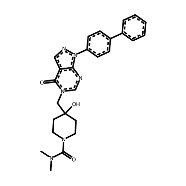 CN(C)C(=O)N1CCC(O)(Cn2cnc3c(cnn3-c3ccc(-c4ccccc4)cc3)c2=O)CC1